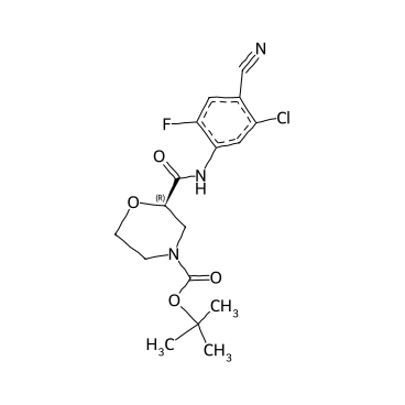 CC(C)(C)OC(=O)N1CCO[C@@H](C(=O)Nc2cc(Cl)c(C#N)cc2F)C1